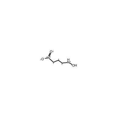 O=[N+]([O-])CCCNO